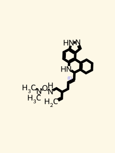 C=CC(C/C=C/C1Nc2ccc3[nH]ncc3c2C2=C1CCCC2)CNON(C)C